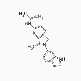 C=C(C)Nc1ccc2c(c1)C(=C)N(c1ccc3cc[nH]c3c1)C2